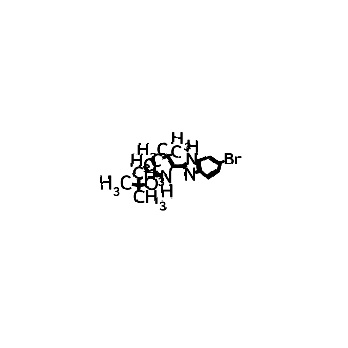 CC(C)(C)OC(=O)N[C@H](c1nc2ccc(Br)cc2[nH]1)C(C)(C)C